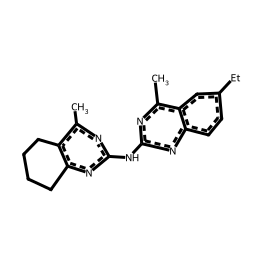 CCc1ccc2nc(Nc3nc(C)c4c(n3)CCCC4)nc(C)c2c1